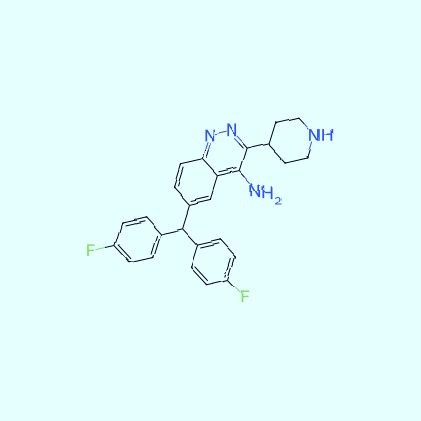 Nc1c(C2CCNCC2)nnc2ccc(C(c3ccc(F)cc3)c3ccc(F)cc3)cc12